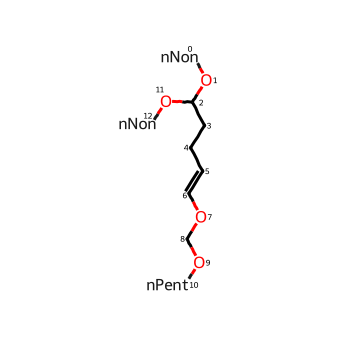 CCCCCCCCCOC(CCC=COCOCCCCC)OCCCCCCCCC